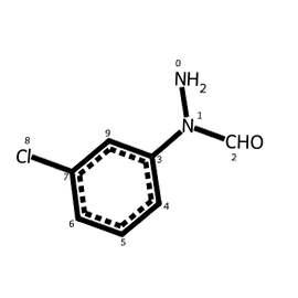 NN(C=O)c1cccc(Cl)c1